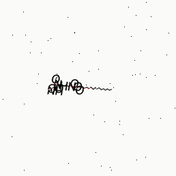 CCCCCCCCCCCCCCCC(=O)OCC(=O)NCCCCCC(=O)N1C[C@H](OC)C[C@H]1CONC